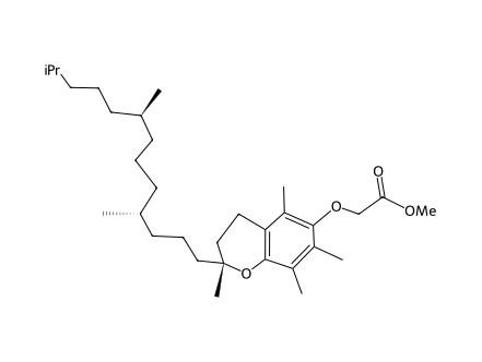 COC(=O)COc1c(C)c(C)c2c(c1C)CC[C@@](C)(CCC[C@H](C)CCC[C@H](C)CCCC(C)C)O2